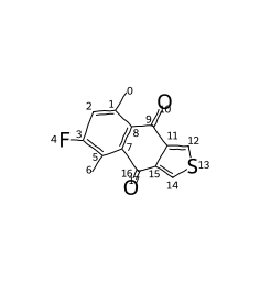 Cc1cc(F)c(C)c2c1C(=O)c1cscc1C2=O